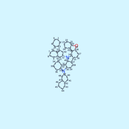 c1ccc2c(c1)-c1cccc3cc(-n4c5c(ccc6oc7ccccc7c65)c5ccc6c(c7ccccc7n6-c6ccc7ccccc7c6)c54)cc-2c13